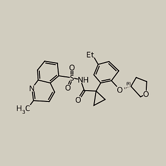 CCc1ccc(O[C@@H]2CCOC2)c(C2(C(=O)NS(=O)(=O)c3cccc4nc(C)ccc34)CC2)c1